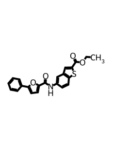 CCOC(=O)c1cc2cc(NC(=O)c3ccc(-c4ccccc4)o3)ccc2s1